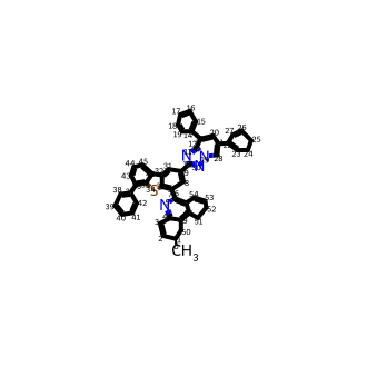 C[C@H]1C=Cc2nc(-c3cc(-c4nc5c(-c6ccccc6)cc(C6=CCCC=C6)cn5n4)cc4c3sc3c(-c5ccccc5)cccc34)c3c(c2C1)CCC=C3